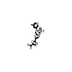 CCS(=O)(=O)N(Cc1ncc(-c2nnc(C(F)F)o2)s1)c1cncc(C)c1